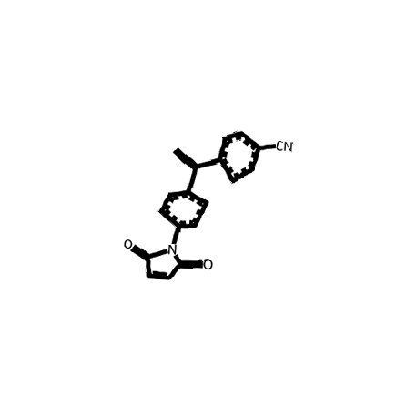 C=C(c1ccc(C#N)cc1)c1ccc(N2C(=O)C=CC2=O)cc1